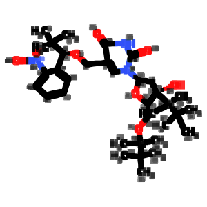 CC(C)(C)[C@H](OCc1cn([C@H]2C[C@@](O)([Si](C)(C)C(C)(C)C)[C@@H](CO[Si](C)(C)C(C)(C)C)O2)c(=O)[nH]c1=O)c1ccccc1[N+](=O)[O-]